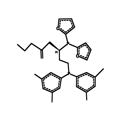 C=C(CCC)C[C@H](CCP(c1cc(C)cc(C)c1)c1cc(C)cc(C)c1)P(c1ccco1)c1ccco1